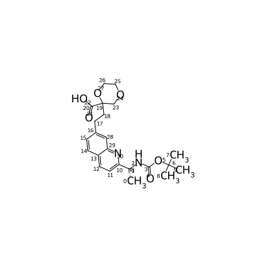 C[C@@H](NC(=O)OC(C)(C)C)c1ccc2ccc(CCC3(C(=O)O)COCCO3)cc2n1